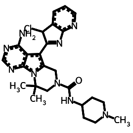 CN1CCC(NC(=O)N2Cc3c(C4=Nc5ncccc5C4Cl)c4c(N)ncnc4n3C(C)(C)C2)CC1